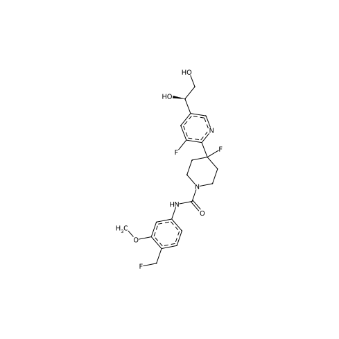 COc1cc(NC(=O)N2CCC(F)(c3ncc([C@@H](O)CO)cc3F)CC2)ccc1CF